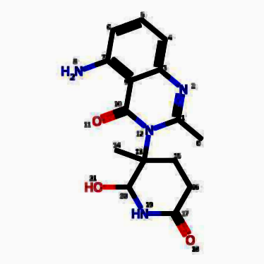 Cc1nc2cccc(N)c2c(=O)n1C1(C)CCC(=O)NC1O